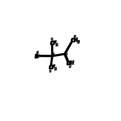 CC(O)C(Br)(C(F)(F)F)C(F)(F)F